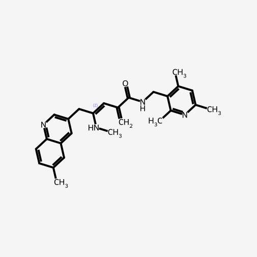 C=C(/C=C(/Cc1cnc2ccc(C)cc2c1)NC)C(=O)NCc1c(C)cc(C)nc1C